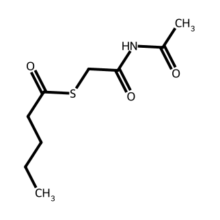 CCCCC(=O)SCC(=O)NC(C)=O